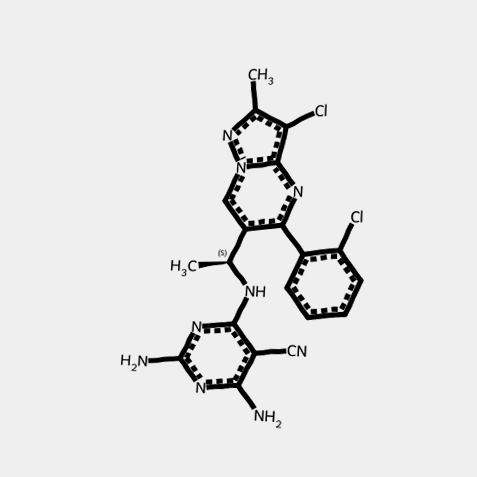 Cc1nn2cc([C@H](C)Nc3nc(N)nc(N)c3C#N)c(-c3ccccc3Cl)nc2c1Cl